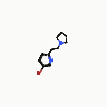 Brc1ccc(CCN2CCCC2)nc1